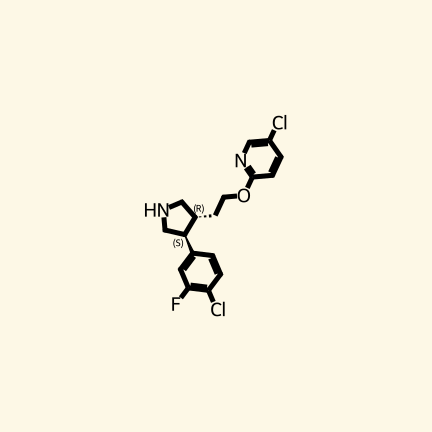 Fc1cc([C@H]2CNC[C@@H]2CCOc2ccc(Cl)cn2)ccc1Cl